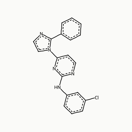 Clc1cccc(Nc2nccc(-n3ccnc3-c3ccccc3)n2)c1